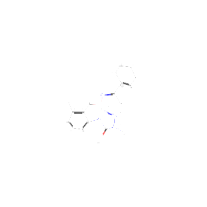 CC(=NOCc1c(C)cccc1-n1nnn(C)c1=O)C1=CCCCC1